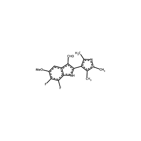 COc1cc2c(C=O)c(-c3c(C)nn(C)c3C)[nH]c2c(F)c1F